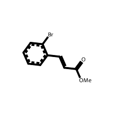 COC(=O)C=Cc1ccccc1Br